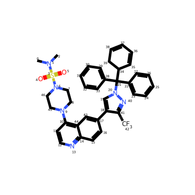 CN(C)S(=O)(=O)N1CCN(c2ccnc3ccc(-c4cn(C(c5ccccc5)(c5ccccc5)C5C=CC=CC5)nc4C(F)(F)F)cc23)CC1